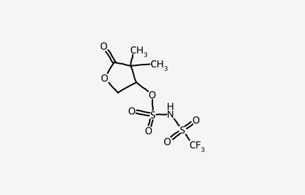 CC1(C)C(=O)OCC1OS(=O)(=O)NS(=O)(=O)C(F)(F)F